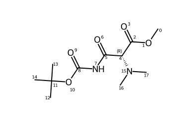 COC(=O)[C@@H](C(=O)NC(=O)OC(C)(C)C)N(C)C